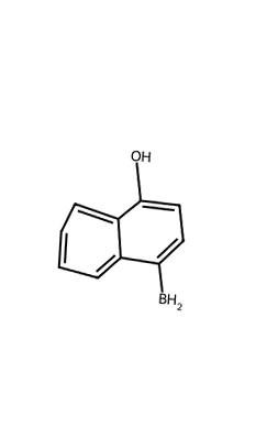 Bc1ccc(O)c2ccccc12